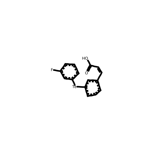 O=C(O)/C=C\c1cccc([Te]c2cccc(F)c2)c1